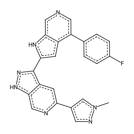 Cn1cc(-c2cc3c(-c4cc5c(-c6ccc(F)cc6)cncc5[nH]4)n[nH]c3cn2)cn1